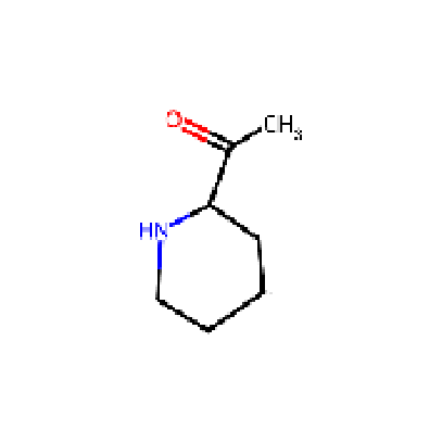 CC(=O)C1C[CH]CCN1